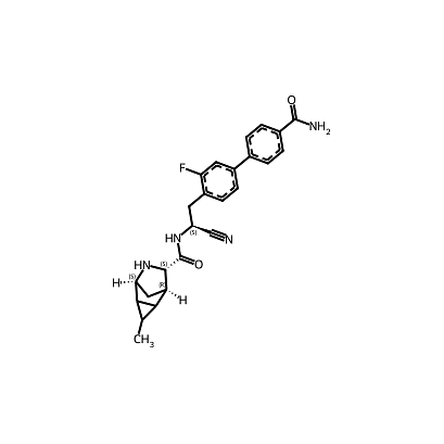 CC1C2C1[C@H]1C[C@@H]2N[C@@H]1C(=O)N[C@H](C#N)Cc1ccc(-c2ccc(C(N)=O)cc2)cc1F